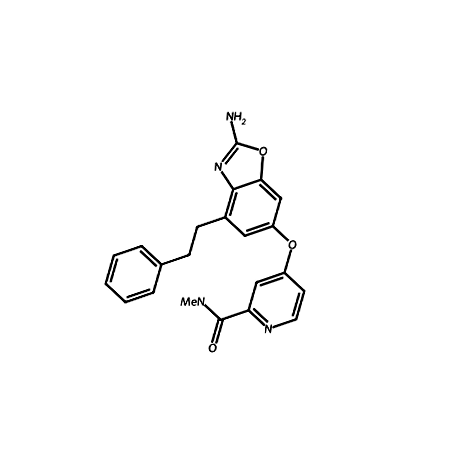 CNC(=O)c1cc(Oc2cc(CCc3ccccc3)c3nc(N)oc3c2)ccn1